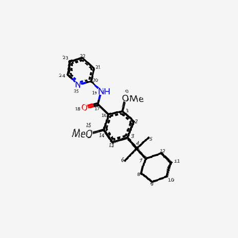 COc1cc(C(C)(C)C2CCCCC2)cc(OC)c1C(=O)Nc1ccccn1